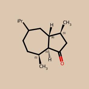 CC(C)C1CC[C@H](C)[C@@H]2C(=O)C[C@H](C)[C@H]2C1